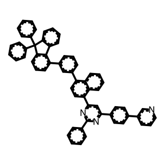 c1ccc(-c2nc(-c3ccc(-c4cccnc4)cc3)cc(-c3ccc(-c4cccc(-c5cccc6c5-c5ccccc5C6(c5ccccc5)c5ccccc5)c4)c4ccccc34)n2)cc1